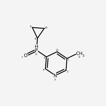 Cc1cncc([PH](=O)C2CC2)c1